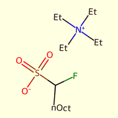 CCCCCCCCC(F)S(=O)(=O)[O-].CC[N+](CC)(CC)CC